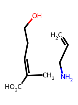 C=CCN.CC(=CCCO)C(=O)O